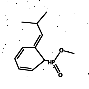 CO[PH](=O)C1C=CC=CC1=CC(C)C